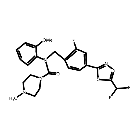 COc1ccccc1N(Cc1ccc(-c2nnc(C(F)F)o2)cc1F)C(=O)N1CCN(C)CC1